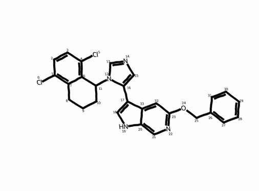 Clc1ccc(Cl)c2c1CCCC2n1cncc1-c1c[nH]c2cnc(OCc3ccccc3)cc12